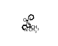 CC1(C)CN(C(=O)N2CCCCC2)c2cccnc21